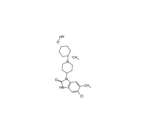 CCCO[C@H]1CC[C@](C)(N2CCC(n3c(=O)[nH]c4cc(Cl)c(C)cc43)CC2)CC1